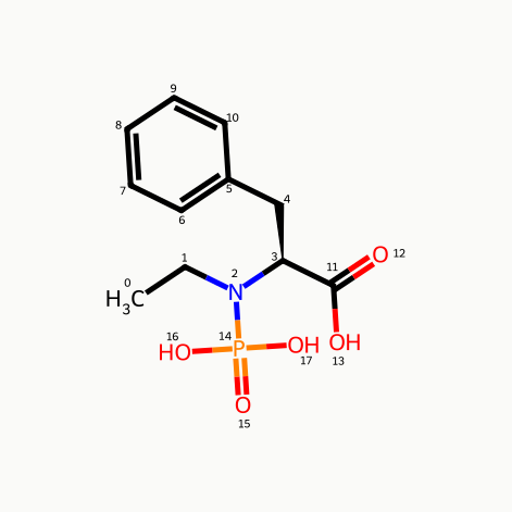 CCN([C@@H](Cc1ccccc1)C(=O)O)P(=O)(O)O